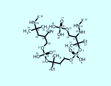 CCC(C)(CCOP(=O)(O)OC(C)(CC)C(COP(=O)(O)O)NNF)OP(=O)(O)OCC(CC(C)(C)NF)C(C)C